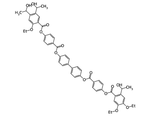 CCOc1cc(C(=O)Oc2ccc(C(=O)Oc3ccc(-c4ccc(OC(=O)c5ccc(OC(=O)c6cc(C(C)O)c(C(C)O)cc6OCC)cc5)cc4)cc3)cc2)c(C(C)O)cc1OCC